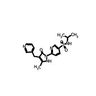 Cc1[nH]n(-c2ccc(S(=O)(=O)NC(C)C)cn2)c(=O)c1Cc1cccnc1